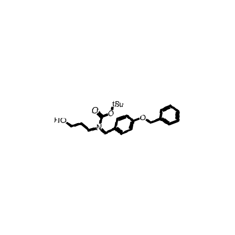 CC(C)(C)OC(=O)N(CCCO)Cc1ccc(OCc2ccccc2)cc1